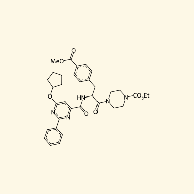 CCOC(=O)N1CCN(C(=O)C(Cc2ccc(C(=O)OC)cc2)NC(=O)c2cc(OC3CCCC3)nc(-c3ccccc3)n2)CC1